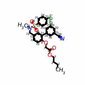 CCCCOC(=O)COc1ccc(CN(C)S(=O)(=O)c2ccc(F)cc2)cc1-c1cc(F)cc(C#N)c1